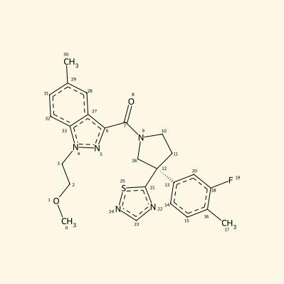 COCCn1nc(C(=O)N2CC[C@@](c3ccc(C)c(F)c3)(c3ncns3)C2)c2cc(C)ccc21